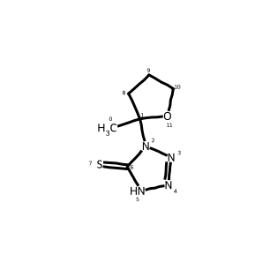 CC1(n2nn[nH]c2=S)CCCO1